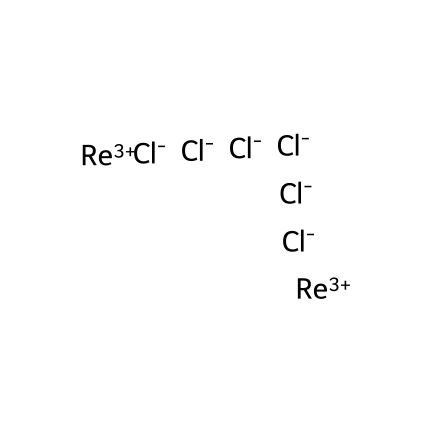 [Cl-].[Cl-].[Cl-].[Cl-].[Cl-].[Cl-].[Re+3].[Re+3]